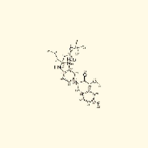 CCCC1(CC(=O)OC(C)(C)C)Nc2ccc(N(Cc3ccc(F)cc3)C(=O)COC)cc2N1